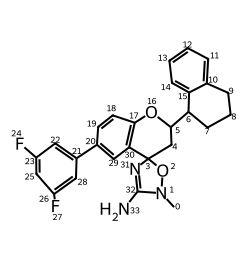 CN1OC2(CC(C3CCCc4ccccc43)Oc3ccc(-c4cc(F)cc(F)c4)cc32)N=C1N